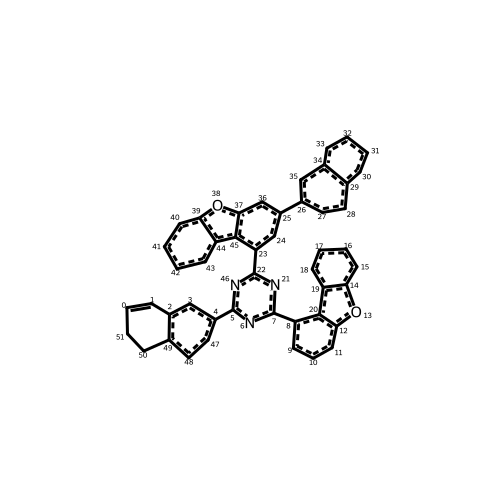 C1=Cc2cc(-c3nc(-c4cccc5oc6ccccc6c45)nc(-c4cc(-c5ccc6ccccc6c5)cc5oc6ccccc6c45)n3)ccc2CC1